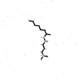 CCCCCCC(C)ONCCCN(C)C